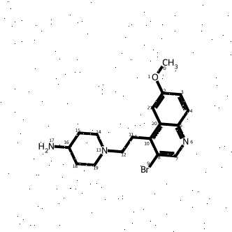 COc1ccc2ncc(Br)c(CCN3CCC(N)CC3)c2c1